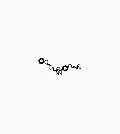 CN(C)CCCOc1ccc(-c2nnc(CCOCCOc3ccccc3)o2)cc1